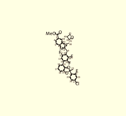 COC(=O)c1ccc2nc(Cc3c(F)cc(-c4cccc5c4OC(C)(c4ccc(Cl)cc4F)O5)c(F)c3F)n(C[C@@H]3CCO3)c2c1